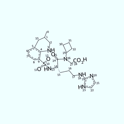 CC1CNc2c(cccc2S(=O)(=O)N[C@@H](CCCNc2ncc[nH]2)C(=O)N(CC(=O)O)C2CCC2)C1